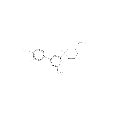 CNc1nc(-c2ccc(C#N)c(F)c2)cc([N+]2(C(C)(C)C)CCC[C@@H](NC(=O)[O-])C2)n1